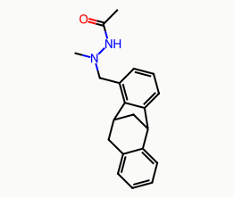 CC(=O)NN(C)Cc1cccc2c1C1Cc3ccccc3C2C1